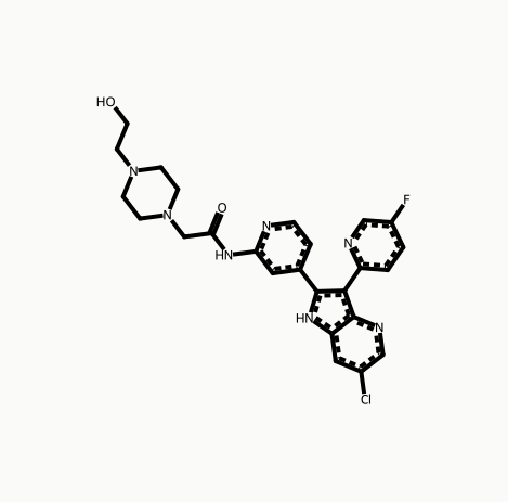 O=C(CN1CCN(CCO)CC1)Nc1cc(-c2[nH]c3cc(Cl)cnc3c2-c2ccc(F)cn2)ccn1